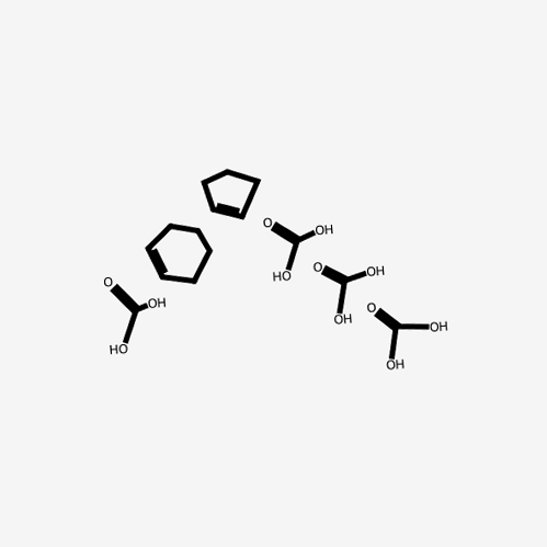 C1=CCCC1.C1=CCCCC1.O=C(O)O.O=C(O)O.O=C(O)O.O=C(O)O